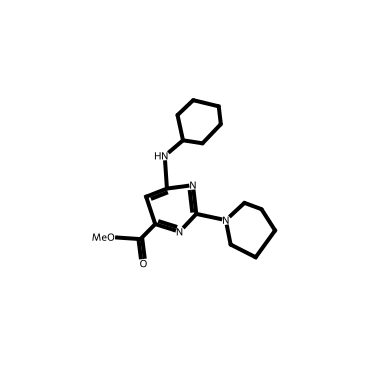 COC(=O)c1cc(NC2CCCCC2)nc(N2CCCCC2)n1